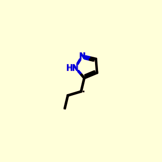 CC[CH]c1ccn[nH]1